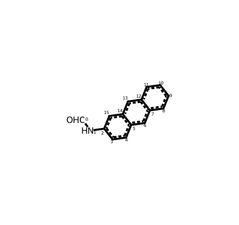 O=CNc1ccc2cc3ccccc3cc2c1